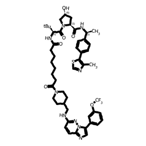 Cc1ncsc1-c1ccc([C@H](C)NC(=O)[C@@H]2C[C@@H](O)CN2C(=O)[C@@H](NC(=O)CCCCCCC(=O)N2CCC(CNc3ccc4ncc(-c5cccc(OC(F)(F)F)c5)n4n3)CC2)C(C)(C)C)cc1